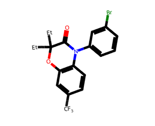 CCC1(CC)Oc2cc(C(F)(F)F)ccc2N(c2cccc(Br)c2)C1=O